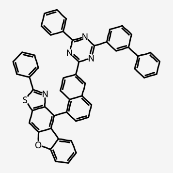 c1ccc(-c2cccc(-c3nc(-c4ccccc4)nc(-c4ccc5c(-c6c7nc(-c8ccccc8)sc7cc7oc8ccccc8c67)cccc5c4)n3)c2)cc1